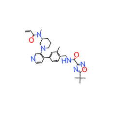 C=CC(=O)N(C)C1CCCN(c2cnccc2-c2ccc(CNC(=O)c3noc(C(C)(C)C)n3)c(C)c2)C1